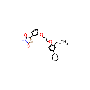 CCCc1cc(C2CCCCC2)ccc1OCCCOc1cccc(C2SC(=O)NC2=O)c1